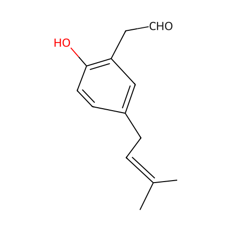 CC(C)=CCc1ccc(O)c(CC=O)c1